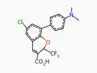 CN(C)c1ccc(-c2cc(Cl)cc3c2OC(C(F)(F)F)C(C(=O)O)=C3)cc1